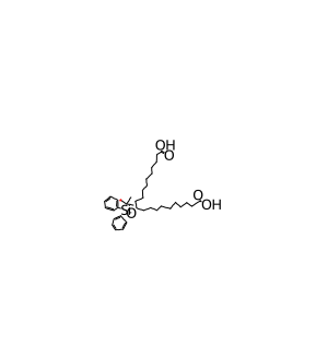 CC(C)(C)[Si](OC(CCCCCCCCCC(=O)O)CCCCCCCCCC(=O)O)(c1ccccc1)c1ccccc1